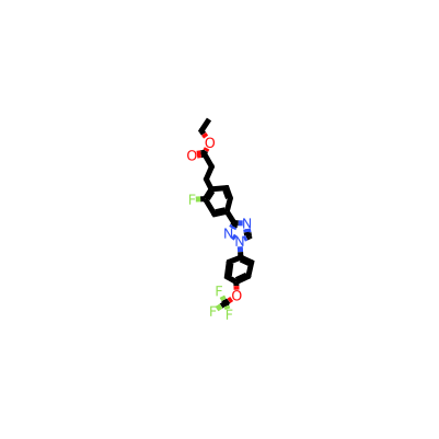 CCOC(=O)CCc1ccc(-c2ncn(-c3ccc(OC(F)(F)F)cc3)n2)cc1F